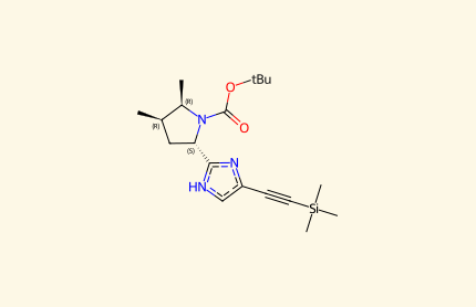 C[C@@H]1C[C@@H](c2nc(C#C[Si](C)(C)C)c[nH]2)N(C(=O)OC(C)(C)C)[C@@H]1C